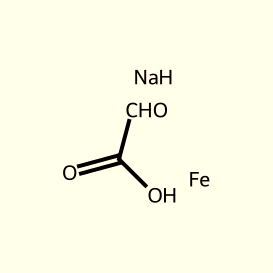 O=CC(=O)O.[Fe].[NaH]